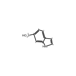 O=S(=O)(O)c1ccc2cc[nH]c2c1